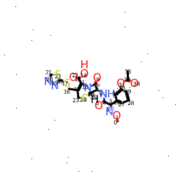 CO/N=C(/C(=O)NC1C(=O)N2C(C(=O)O)=C(CSc3nncs3)CS[C@H]12)c1cccc(OC(C)=O)c1